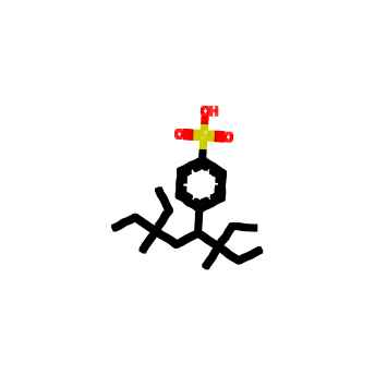 CCC(C)(CC)CC(c1ccc(S(=O)(=O)O)cc1)C(C)(CC)CC